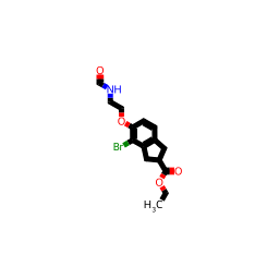 CCOC(=O)C1Cc2ccc(OCCNC=O)c(Br)c2C1